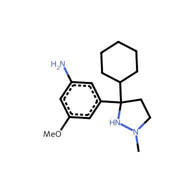 COc1cc(N)cc(C2(C3CCCCC3)CCN(C)N2)c1